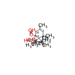 CC1CC(C)(C)C(C(C)(C)C)(C(C)(C)C)C(OO)(OO)C1